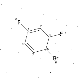 FC1=CC(F)[C](Br)C=C1